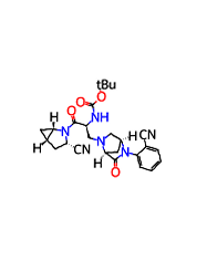 CC(C)(C)OC(=O)N[C@@H](CN1C[C@@H]2C[C@H]1C(=O)N2c1ccccc1C#N)C(=O)N1[C@H](C#N)C[C@@H]2C[C@@H]21